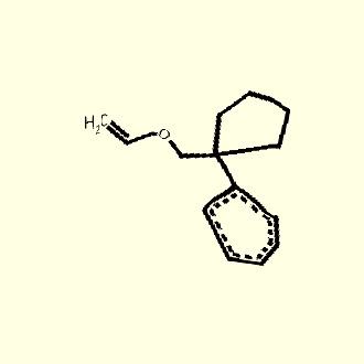 C=COCC1(c2ccccc2)CCCC1